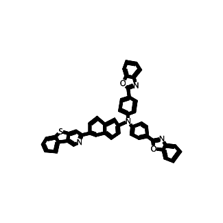 c1ccc2oc(-c3ccc(N(c4ccc(-c5nc6ccccc6o5)cc4)c4ccc5cc(-c6cc7sc8ccccc8c7cn6)ccc5c4)cc3)nc2c1